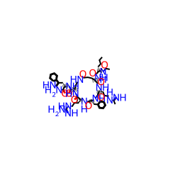 CCCC[C@H](NC(C)=O)C(=O)N[C@H]1CCC(=O)NCC[C@@H](C(=O)N[C@@H](Cc2c[nH]c3ccccc23)C(N)=O)NC(=O)[C@H](CCCNC(=N)N)NC(=O)[C@@H](Cc2ccccc2)NC(=O)[C@H](CCCNC(C)=N)NC1=O